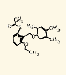 CCOc1cccc(SC(C)=O)c1COc1cc(C)c(C)cc1C